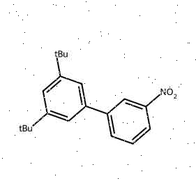 CC(C)(C)c1cc(-c2cccc([N+](=O)[O-])c2)cc(C(C)(C)C)c1